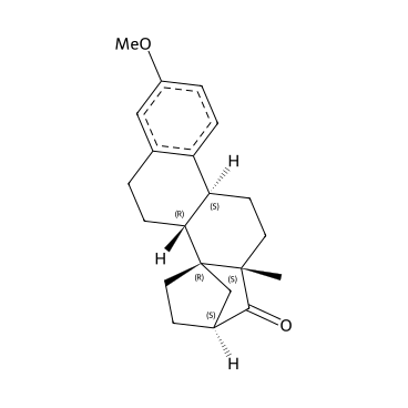 COc1ccc2c(c1)CC[C@@H]1[C@@H]2CC[C@]2(C)C(=O)[C@H]3CC[C@@]12C3